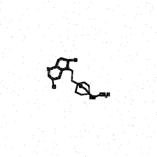 O=C(O)NC12CCC(CCn3c(=O)ccc4ncc(Cl)cc43)(CC1)OC2